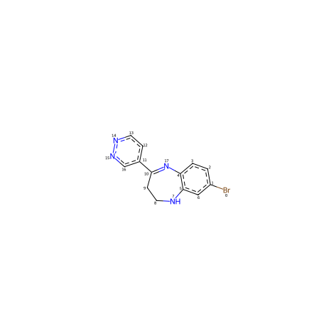 Brc1ccc2c(c1)NCCC(c1ccnnc1)=N2